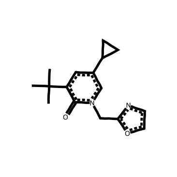 CC(C)(C)c1cc(C2CC2)cn(Cc2ncco2)c1=O